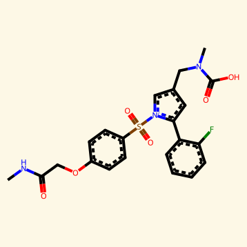 CNC(=O)COc1ccc(S(=O)(=O)n2cc(CN(C)C(=O)O)cc2-c2ccccc2F)cc1